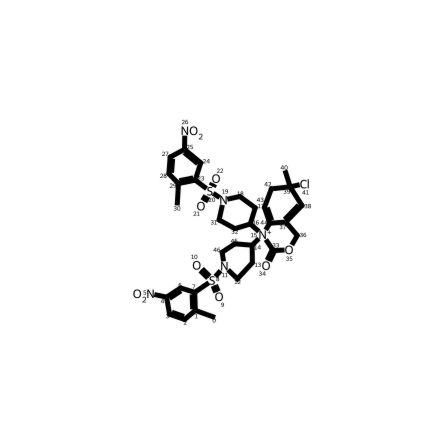 Cc1ccc([N+](=O)[O-])cc1S(=O)(=O)N1CCC([N+]2(C3CCN(S(=O)(=O)c4cc([N+](=O)[O-])ccc4C)CC3)C(=O)OCC3=CC(C)(Cl)CC=C32)CC1